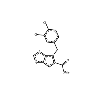 COC(=O)c1cc2ncsc2n1Cc1ccc(Cl)c(Cl)c1